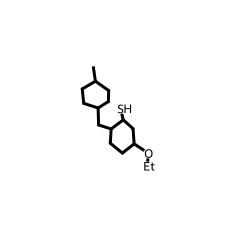 CCOC1CCC(CC2CCC(C)CC2)C(S)C1